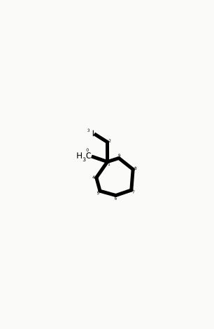 CC1(CI)CCCCCC1